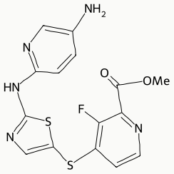 COC(=O)c1nccc(Sc2cnc(Nc3ccc(N)cn3)s2)c1F